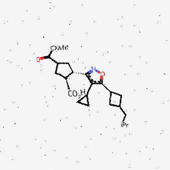 COC(=O)C1C[C@H](C(=O)O)[C@@H](c2noc(C3CC(CC(C)C)C3)c2C2CC2)C1